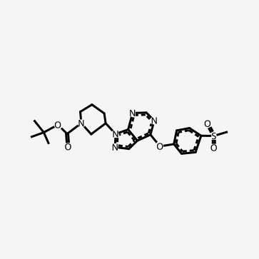 CC(C)(C)OC(=O)N1CCCC(n2ncc3c(Oc4ccc(S(C)(=O)=O)cc4)ncnc32)C1